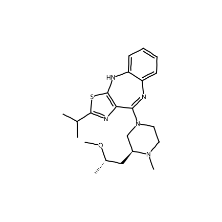 CO[C@@H](C)C[C@H]1CN(C2=Nc3ccccc3Nc3sc(C(C)C)nc32)CCN1C